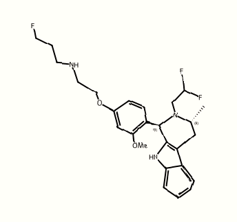 COc1cc(OCCNCCCF)ccc1[C@@H]1c2[nH]c3ccccc3c2C[C@@H](C)N1CC(F)F